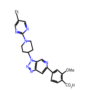 CCc1cnc(N2CCC(n3nnc4cc(-c5ccc(C(=O)O)c(OC)c5)ncc43)CC2)nc1